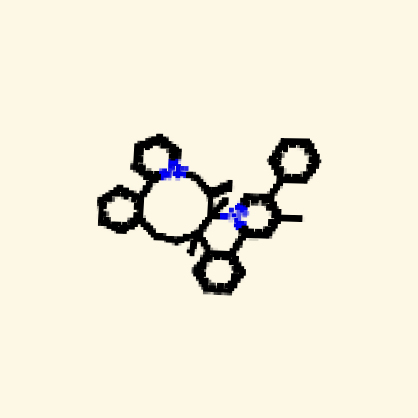 C=C1C[n+]2ccccc2-c2ccccc2CCC2(C)c3ccccc3-c3cc(C)c(-c4ccccc4)c[n+]3C12C